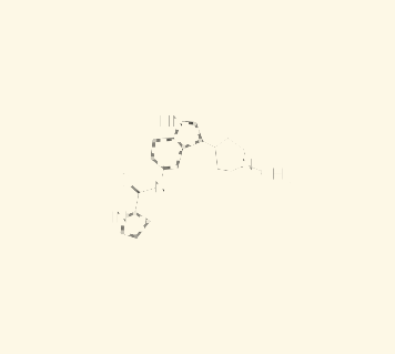 CN1CCC(c2c[nH]c3ccc(NC(=O)c4ccc[nH]4)cc23)CC1